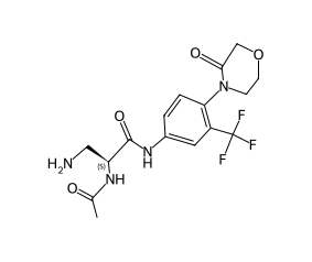 CC(=O)N[C@@H](CN)C(=O)Nc1ccc(N2CCOCC2=O)c(C(F)(F)F)c1